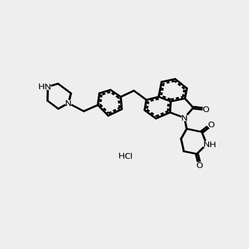 Cl.O=C1CCC(N2C(=O)c3cccc4c(Cc5ccc(CN6CCNCC6)cc5)ccc2c34)C(=O)N1